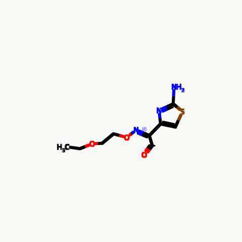 CCOCCO/N=C(\[C]=O)c1csc(N)n1